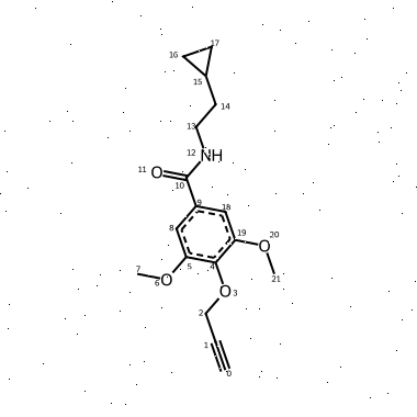 C#CCOc1c(OC)cc(C(=O)NCCC2CC2)cc1OC